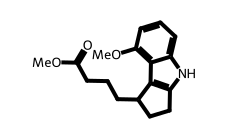 COC(=O)CCCC1CCc2[nH]c3cccc(OC)c3c21